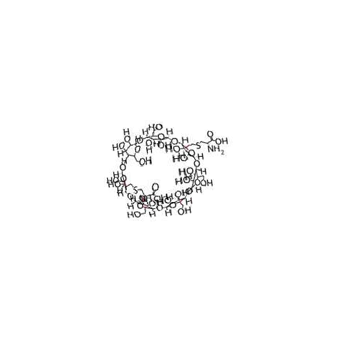 N[C@H](CSCC1O[C@@H]2O[C@@H]3C(CO)O[C@@H](O[C@@H]4C(CO)O[C@@H](O[C@@H]5C(CSC[C@@H](N)C(=O)O)O[C@@H](O[C@@H]6C(CO)O[C@@H](O[C@@H]7C(CO)O[C@H](O[C@@H]8C(CO)O[C@H](O[C@H]1[C@H](O)C2O)C(O)[C@H]8O)C(O)[C@H]7O)C(O)[C@H]6O)C(O)[C@H]5O)C(O)[C@@H]4O)C(O)[C@H]3O)C(=O)O